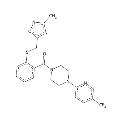 Cc1noc(CSc2ccccc2C(=O)N2CCN(c3ccc(C(F)(F)F)cn3)CC2)n1